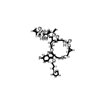 C=C[C@@H]1C[C@@]1(C(=O)NS(=O)(=O)C1(C)CC1)N(CCCC)C(=O)C1CC2CN1C(=O)CNC(=O)OC1CC1CCCCCc1c(nc3cc(F)ccc3c1OCCCN1CCCC1)O2